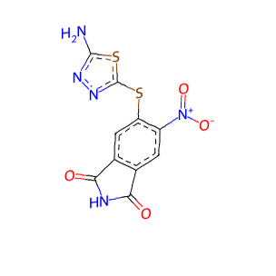 Nc1nnc(Sc2cc3c(cc2[N+](=O)[O-])C(=O)NC3=O)s1